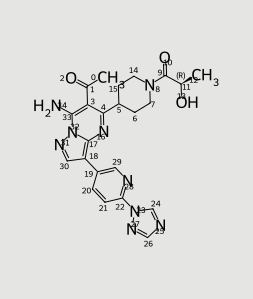 CC(=O)c1c(C2CCN(C(=O)[C@@H](C)O)CC2)nc2c(-c3ccc(-n4cncn4)nc3)cnn2c1N